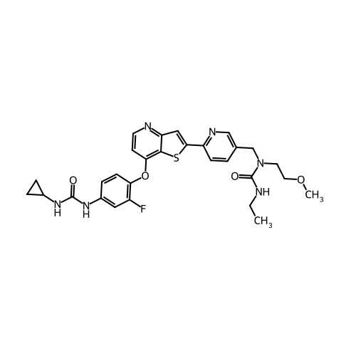 CCNC(=O)N(CCOC)Cc1ccc(-c2cc3nccc(Oc4ccc(NC(=O)NC5CC5)cc4F)c3s2)nc1